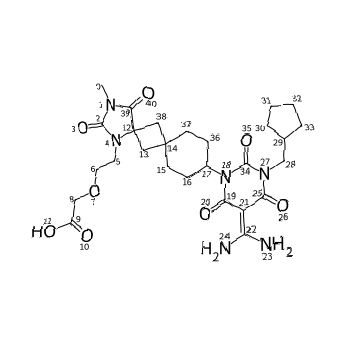 CN1C(=O)N(CCOCC(=O)O)C2(CC3(CCC(N4C(=O)C(=C(N)N)C(=O)N(CC5CCCC5)C4=O)CC3)C2)C1=O